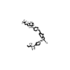 C=CC(=O)N[C@@H]1CCN(CCn2c(C#N)cc3c(C)c(CN4CCC(Nc5ncnc6sc(CC(F)(F)F)cc56)CC4)ccc32)C1